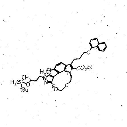 CCOC(=O)c1c(CCCOc2cccc3ccccc23)c2ccc(Cl)c3c2n1CCCCOCc1nn(CCCO[Si](C)(C)C(C)(C)C)c(C)c1-3